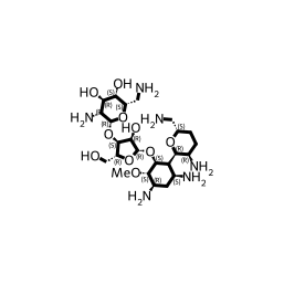 CO[C@H]1[C@H](N)C[C@H](N)C([C@H]2O[C@H](CN)CC[C@H]2N)[C@@H]1O[C@@H]1O[C@H](CO)[C@@H](O[C@H]2O[C@@H](CN)[C@@H](O)[C@H](O)[C@H]2N)[C@H]1O